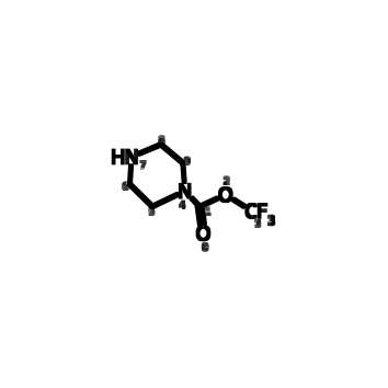 O=C(OC(F)(F)F)N1CCNCC1